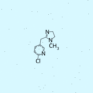 CN1CCN=C1Cc1ccc(Cl)nc1